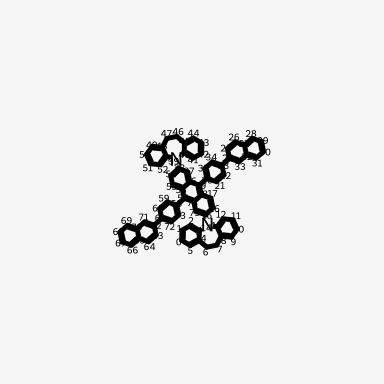 c1ccc2c(c1)CCc1ccccc1N2c1ccc2c(-c3ccc(-c4ccc5ccccc5c4)cc3)c3cc(N4c5ccccc5CCc5ccccc54)ccc3c(-c3ccc(-c4ccc5ccccc5c4)cc3)c2c1